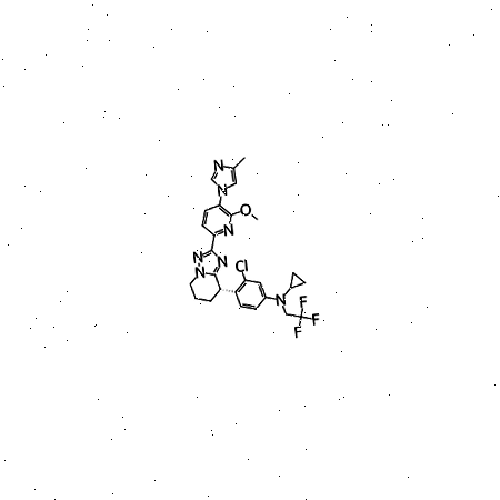 COc1nc(-c2nc3n(n2)CCC[C@H]3c2ccc(N(CC(F)(F)F)C3CC3)cc2Cl)ccc1-n1cnc(C)c1